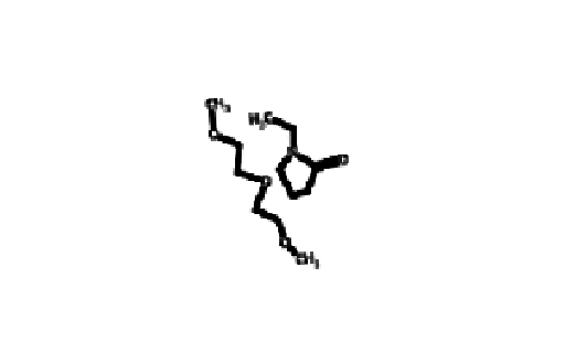 CCN1CCCC1=O.COCCOCCOC